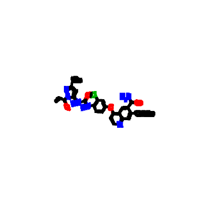 C=CC(=O)n1nc(C(C)(C)C)cc1NC(=O)Nc1ccc(Oc2ccnc3cc(OC)c(C(N)=O)cc23)cc1Cl